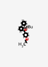 C=CCOC1CCC(CO[Si](c2ccccc2)(c2ccccc2)C(C)(C)C)CC1